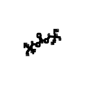 CC(F)(F)COC(=O)OCC(C)(F)F